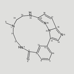 CN1CCNC(=O)c2cccc(c2)-c2cnc3ccc(nn23)NCC1